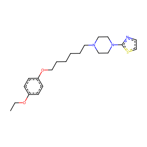 CCOc1ccc(OCCCCCCN2CCN(c3nccs3)CC2)cc1